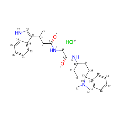 CC(CC(=O)NCC(=O)NC1CCC(c2ccccc2)(N(C)C)CC1)c1c[nH]c2ccccc12.Cl